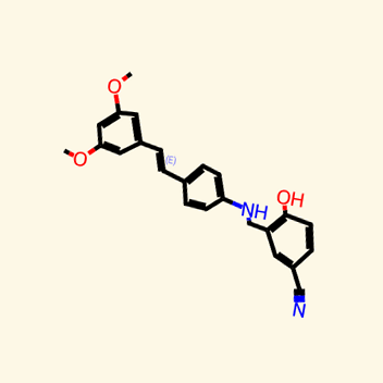 COc1cc(/C=C/c2ccc(NCc3cc(C#N)ccc3O)cc2)cc(OC)c1